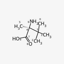 CC(C)(C)[C@](C)(N)C(=O)O